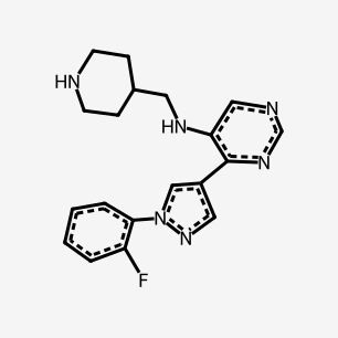 Fc1ccccc1-n1cc(-c2ncncc2NCC2CCNCC2)cn1